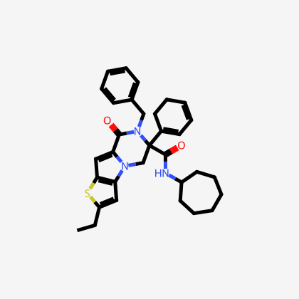 CCc1cc2c(cc3n2CC(C(=O)NC2CCCCCC2)(C2=CC=CCC2)N(Cc2ccccc2)C3=O)s1